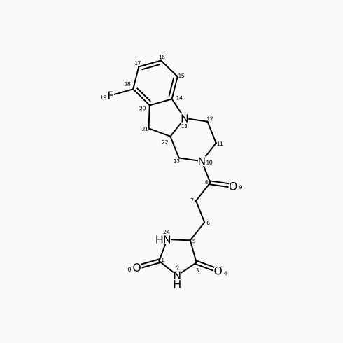 O=C1NC(=O)C(CCC(=O)N2CCN3c4cccc(F)c4CC3C2)N1